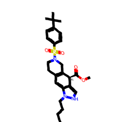 CCCCN1NC=C2C1=CC1=C(CN(S(=O)(=O)c3ccc(C(C)(C)C)cc3)CC1)[C@H]2C(=O)OC